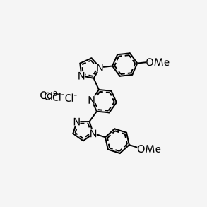 COc1ccc(-n2ccnc2-c2cccc(-c3nccn3-c3ccc(OC)cc3)n2)cc1.[Cl-].[Cl-].[Cl-].[Co+3]